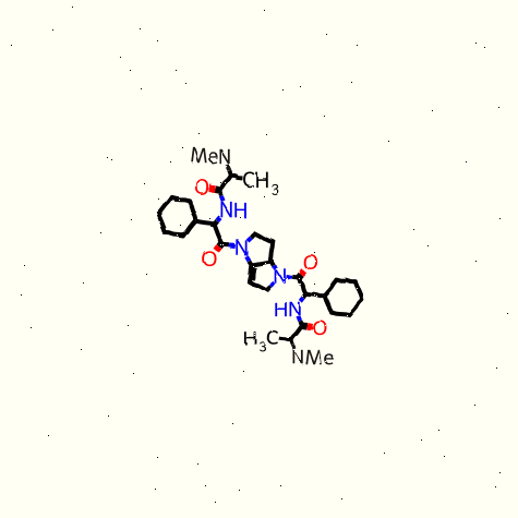 CNC(C)C(=O)NC(C(=O)N1CCC2C1=CCN2C(=O)C(NC(=O)C(C)NC)C1CCCCC1)C1CCCCC1